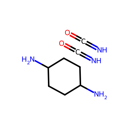 N=C=O.N=C=O.NC1CCC(N)CC1